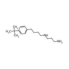 CC(C)(C)c1ccc(CCCCNCCCN)cc1